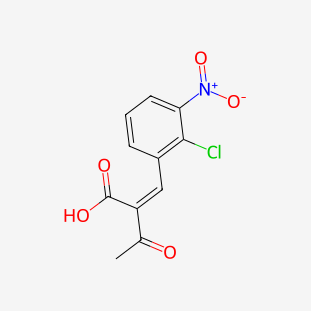 CC(=O)C(=Cc1cccc([N+](=O)[O-])c1Cl)C(=O)O